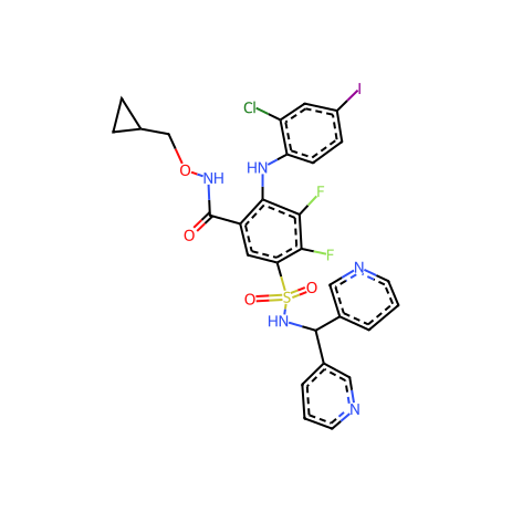 O=C(NOCC1CC1)c1cc(S(=O)(=O)NC(c2cccnc2)c2cccnc2)c(F)c(F)c1Nc1ccc(I)cc1Cl